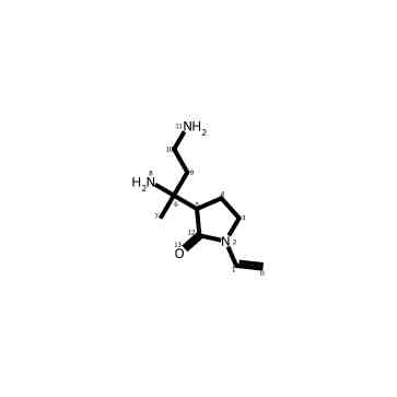 C=CN1CCC(C(C)(N)CCN)C1=O